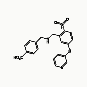 O=C(O)c1ccc(CNCc2cc(Oc3cccnc3)ccc2[SH](=O)=O)cc1